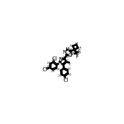 Cc1c(-c2nnc(C3(C(F)(F)F)CCC3)o2)nn(-c2ccc(Cl)cc2Cl)c1-c1ccc(Cl)cc1